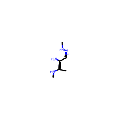 CN/N=C\C(N)=C(/C)NC